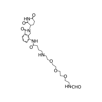 O=CNCCOCCOCCOCCNCCCC(=O)Nc1cccc2c1CN(C1CCC(=O)NC1=O)C2=O